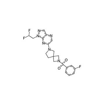 O=S(=O)(c1cccc(F)c1)N1CC2(CCN(c3cnc4cnn(CC(F)F)c4n3)C2)C1